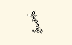 CC(C)(C)OC(=O)N1CCN(c2ccc3nc(C(=O)Nc4cc(F)ccc4N)cnc3c2)CC1